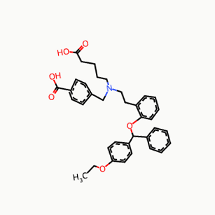 CCOc1ccc(C(Oc2ccccc2CCN(CCCCC(=O)O)Cc2ccc(C(=O)O)cc2)c2ccccc2)cc1